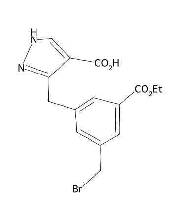 CCOC(=O)c1cc(CBr)cc(Cc2n[nH]cc2C(=O)O)c1